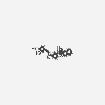 O=C(NN=Cc1ccc(O)c(O)c1)c1cccc(NS(=O)(=O)c2ccc3ccccc3c2)c1